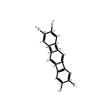 Fc1cc2c(cc1F)c1cc3c4cc(F)c(F)cc4c3cc21